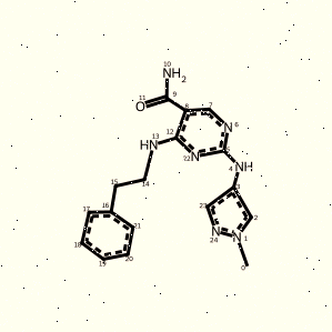 Cn1cc(Nc2ncc(C(N)=O)c(NCCc3ccccc3)n2)cn1